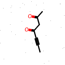 CC#CC(=O)CC(C)=O